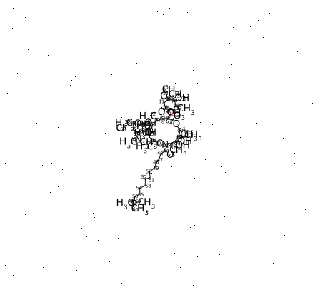 CC[C@H]1OC(=O)[C@H](C)[C@@H](O[C@H]2C[C@@](C)(OC)[C@@H](O)[C@H](C)O2)[C@H](C)[C@@H](O[C@@H]2O[C@H](C)C[C@H](N(C)C)[C@H]2O)[C@](C)(O)C[C@@H](C)CN(C(=O)CCCCCCCCCCC[P+](C)(C)C)[C@H](C)[C@@H](O)[C@]1(C)O.[Cl-]